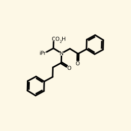 CC(C)C(C(=O)O)N(CC(=O)c1ccccc1)C(=O)CCc1ccccc1